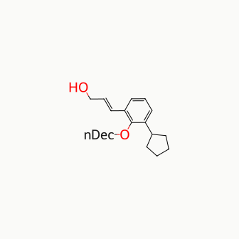 CCCCCCCCCCOc1c(/C=C/CO)cccc1C1CCCC1